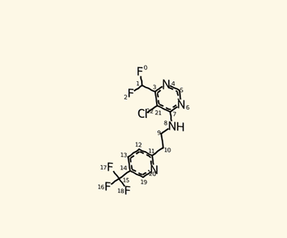 FC(F)c1ncnc(NCCc2ccc(C(F)(F)F)cn2)c1Cl